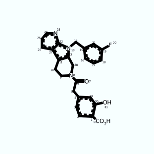 O=C(O)c1ccc(CC(=O)N2CCc3c(n(Cc4cccc(F)c4)c4ncccc34)C2)cc1O